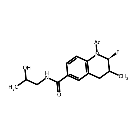 CC(=O)N1c2ccc(C(=O)NCC(C)O)cc2CC(C)[C@@H]1F